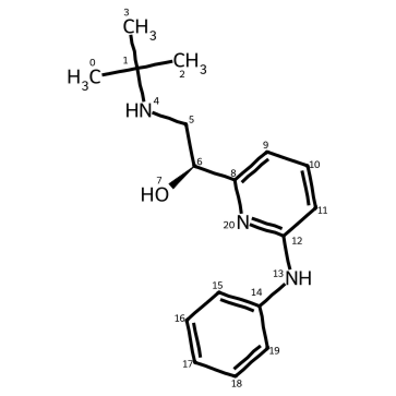 CC(C)(C)NC[C@H](O)c1cccc(Nc2ccccc2)n1